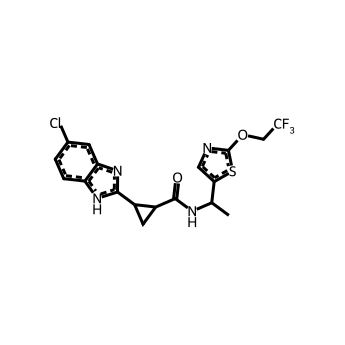 CC(NC(=O)C1CC1c1nc2cc(Cl)ccc2[nH]1)c1cnc(OCC(F)(F)F)s1